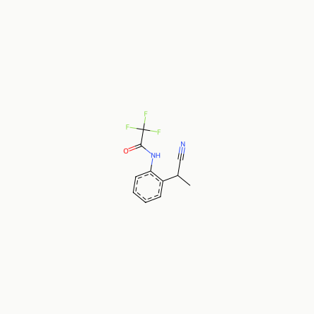 CC(C#N)c1ccccc1NC(=O)C(F)(F)F